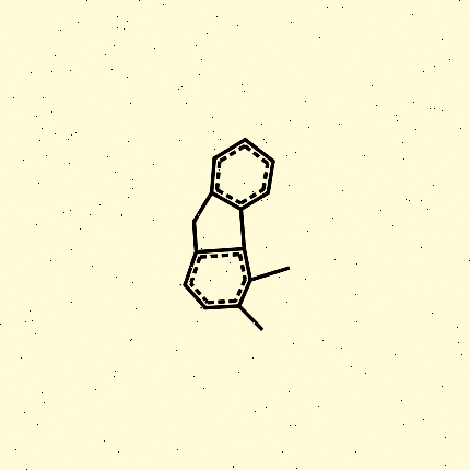 Cc1[c][c]c2c(c1C)-c1ccccc1C2